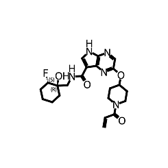 C=CC(=O)N1CCC(Oc2cnc3[nH]cc(C(=O)NC[C@]4(O)CCCC[C@@H]4F)c3n2)CC1